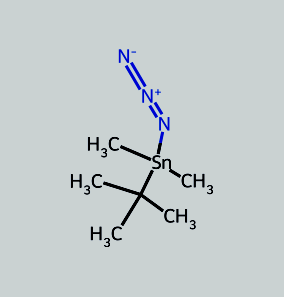 C[C](C)(C)[Sn]([CH3])([CH3])[N]=[N+]=[N-]